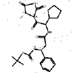 C[C@@H]1C(=O)NC(=O)[C@H]1C(=O)C(NC(=O)C[C@H](NC(=O)OC(C)(C)C)c1ccccc1)C1CCCC1